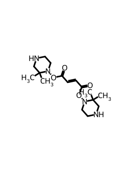 CC1(C)CNCCN1OC(=O)/C=C/C(=O)ON1CCNCC1(C)C